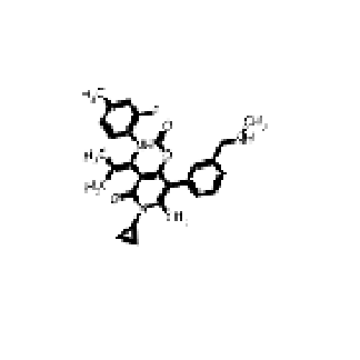 CNCc1cccc(-c2c(OC=O)c(C(Nc3ccc(C)cc3F)=C(C)C)c(=O)n(C3CC3)c2C)c1